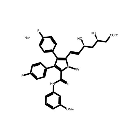 COc1cccc(NC(=O)c2c(-c3ccc(F)cc3)c(-c3ccc(F)cc3)c(C=C[C@@H](O)C[C@@H](O)CC(=O)[O-])n2C(C)C)c1.[Na+]